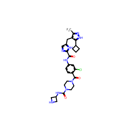 O=C(Nc1ccc(C(=O)N2CCN(C(=O)NC3CNC3)CC2)c(Cl)c1)c1ncc(Cc2c(C(F)(F)F)n[nH]c2C2CCC2)[nH]1